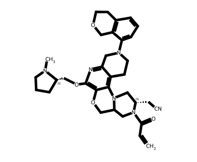 C=CC(=O)N1CC2COc3c(OC[C@@H]4CCCN4C)nc4c(c3N2C[C@@H]1CC#N)CCN(c1cccc2c1COCC2)C4